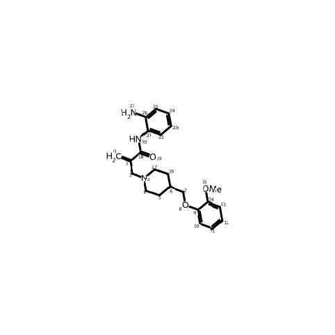 C=C(CN1CCC(COc2ccccc2OC)CC1)C(=O)Nc1ccccc1N